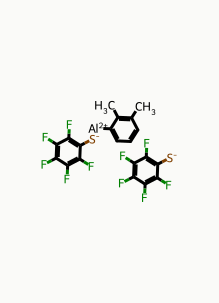 Cc1ccc[c]([Al+2])c1C.Fc1c(F)c(F)c([S-])c(F)c1F.Fc1c(F)c(F)c([S-])c(F)c1F